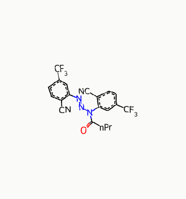 CCCC(=O)N(N=Nc1cc(C(F)(F)F)ccc1C#N)c1cc(C(F)(F)F)ccc1C#N